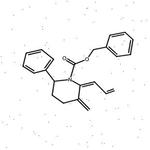 C=C/C=C1\C(=C)CCC(c2ccccc2)N1C(=O)OCc1ccccc1